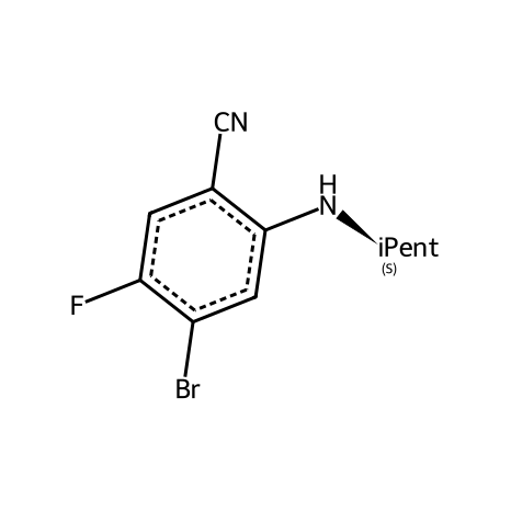 CCC[C@H](C)Nc1cc(Br)c(F)cc1C#N